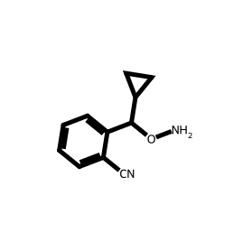 N#Cc1ccccc1C(ON)C1CC1